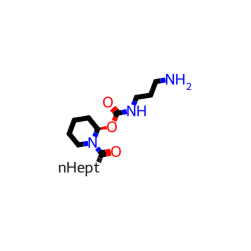 CCCCCCCC(=O)N1CCCC[C@H]1OC(=O)NCCCN